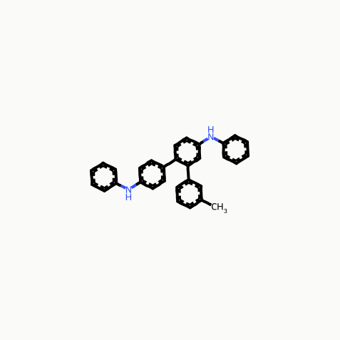 Cc1cccc(-c2cc(Nc3ccccc3)ccc2-c2ccc(Nc3ccccc3)cc2)c1